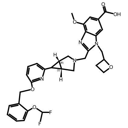 COc1cc(C(=O)O)cc2c1nc(CN1C[C@@H]3C(c4cccc(OCc5ccccc5OC(F)F)n4)[C@@H]3C1)n2CC1CCO1